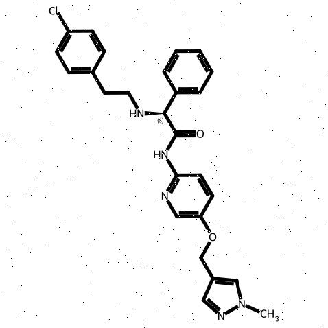 Cn1cc(COc2ccc(NC(=O)[C@@H](NCCc3ccc(Cl)cc3)c3ccccc3)nc2)cn1